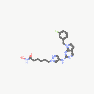 O=C(CCCCCn1cc(Nc2ncc3ccn(Cc4cccc(F)c4)c3n2)cn1)NO